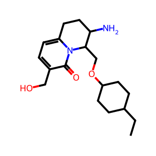 CCC1CCC(OCC2C(N)CCc3ccc(CO)c(=O)n32)CC1